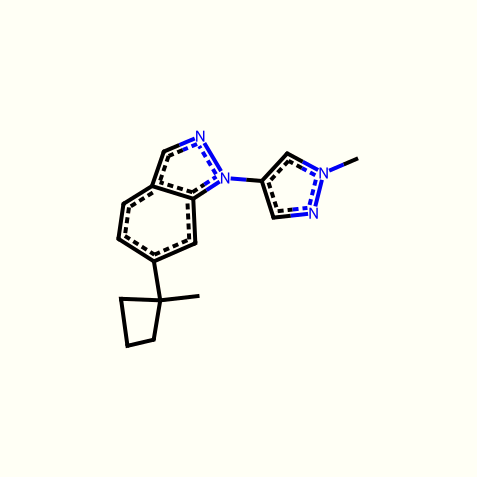 Cn1cc(-n2ncc3ccc(C4(C)CCC4)cc32)cn1